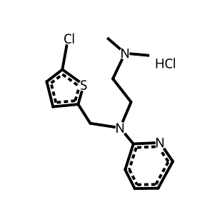 CN(C)CCN(Cc1ccc(Cl)s1)c1ccccn1.Cl